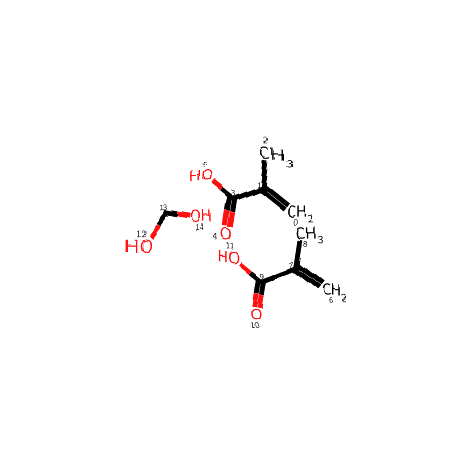 C=C(C)C(=O)O.C=C(C)C(=O)O.OCO